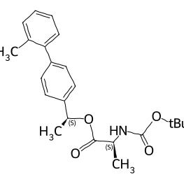 Cc1ccccc1-c1ccc([C@H](C)OC(=O)[C@H](C)NC(=O)OC(C)(C)C)cc1